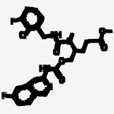 COC(=O)CCC(COC(=O)Nc1cc2cc(F)ccc2cn1)N(C)C(=O)NCc1cccc(F)c1Cl